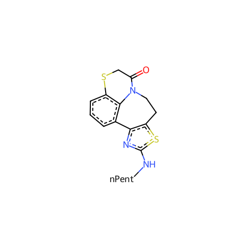 CCCCCNc1nc2c(s1)CCN1C(=O)CSc3cccc-2c31